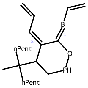 C=C/B=C1/OPCC(C(C)(CCCCC)CCCCC)/C1=C/C=C